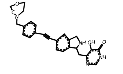 O=c1[nH]cnc(CC2NCc3cc(C#Cc4ccc(CN5CCOCC5)cc4)ccc32)c1O